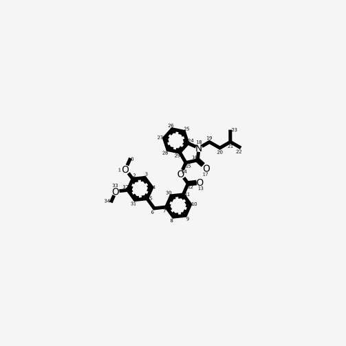 COc1ccc(Cc2cccc(C(=O)OC3C(=O)N(CCC(C)C)c4ccccc43)c2)cc1OC